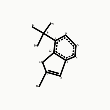 CC1=Cc2cccc(C(C)(C)C)c2C1